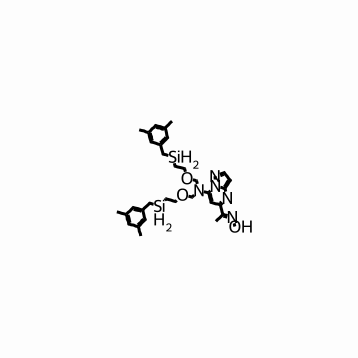 CC(=NO)c1cc(N(COCC[SiH2]Cc2cc(C)cc(C)c2)COCC[SiH2]Cc2cc(C)cc(C)c2)n2nccc2n1